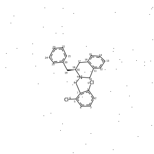 Clc1cccc(Cl)c1CN1Cc2ccccc2C[C@@H]1Cc1ccccc1